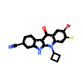 N#Cc1ccc2c(c1)[nH]c1c2c(=O)c2cc(Br)c(F)cc2n1C1CCC1